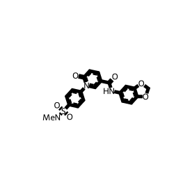 CNS(=O)(=O)c1ccc(-n2cc(C(=O)Nc3ccc4c(c3)OCO4)ccc2=O)cc1